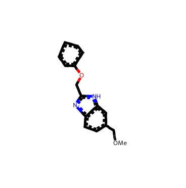 COCc1ccc2nc(COc3[c]cccc3)[nH]c2c1